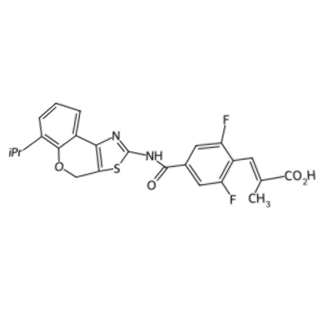 C/C(=C\c1c(F)cc(C(=O)Nc2nc3c(s2)COc2c-3cccc2C(C)C)cc1F)C(=O)O